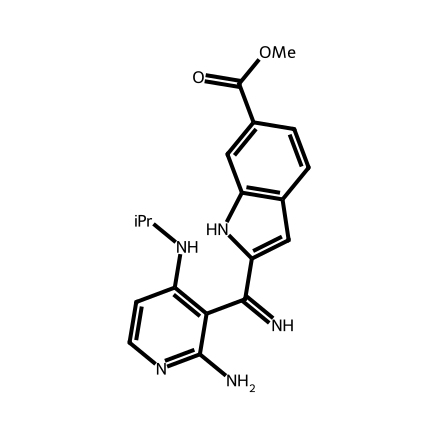 COC(=O)c1ccc2cc(C(=N)c3c(NC(C)C)ccnc3N)[nH]c2c1